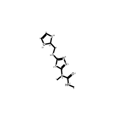 CNC(=O)N(C)c1nnc(SCC2OC=CS2)s1